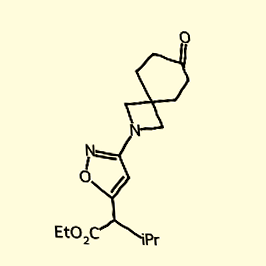 CCOC(=O)C(c1cc(N2CC3(CCC(=O)CC3)C2)no1)C(C)C